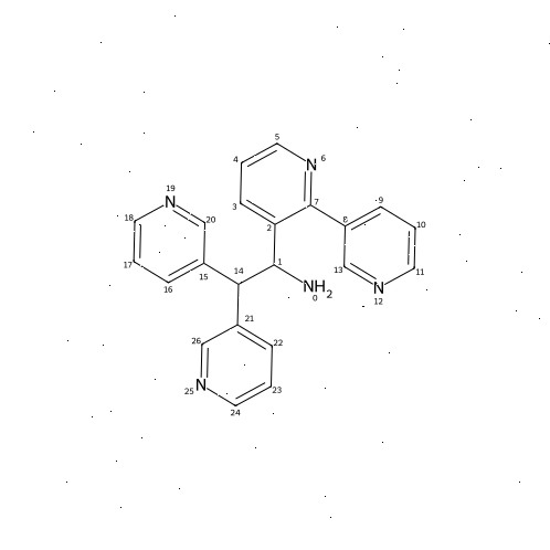 NC(c1cccnc1-c1cccnc1)C(c1cccnc1)c1cccnc1